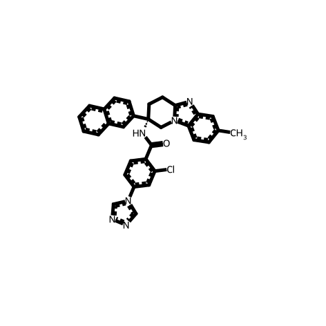 Cc1ccc2c(c1)nc1n2C[C@@](NC(=O)c2ccc(-n3cnnc3)cc2Cl)(c2ccc3ccccc3c2)CC1